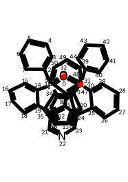 O=P(c1ccccc1)(c1ccccc1)c1ccccc1-c1cncc(-c2ccccc2P(=O)(c2ccccc2)c2ccccc2)c1-c1ccccc1